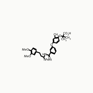 CCCCCC(CCc1ccc(OC)c(OC)c1)NC(=O)c1cccc(Oc2ccc(OC(C)(C)C(=O)O)c(C)c2)c1